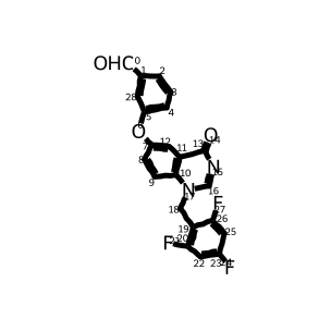 O=Cc1cccc(Oc2ccc3c(c2)c(=O)ncn3Cc2c(F)cc(F)cc2F)c1